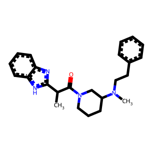 CC(C(=O)N1CCCC(N(C)CCc2ccccc2)C1)c1nc2ccccc2[nH]1